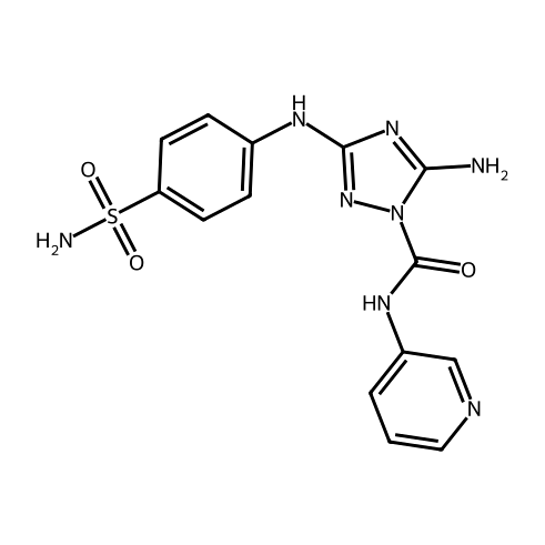 Nc1nc(Nc2ccc(S(N)(=O)=O)cc2)nn1C(=O)Nc1cccnc1